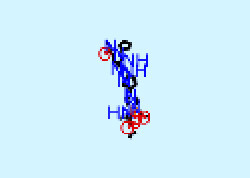 COCP(=O)(N[C@@H](C)C(=O)OC(C)C)N1CCN(c2ccc(NC3=NC34C=C(C(=O)N(C)C)N(C3CCCC3)C4=N)nc2)CC1